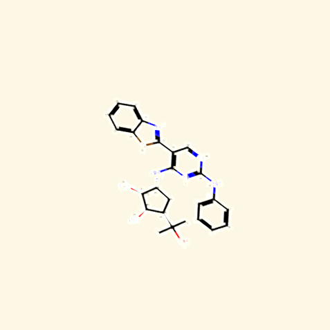 CC(C)(O)[C@@H]1C[C@@H](Nc2nc(Nc3ccccc3)ncc2-c2nc3ccccc3s2)[C@H](O)[C@@H]1O